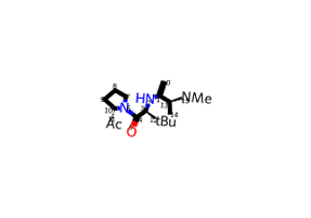 C=C(N[C@H](C(=O)N1CCC[C@H]1C(C)=O)C(C)(C)C)[C@H](C)NC